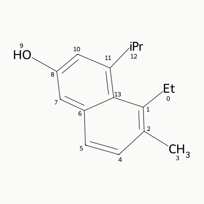 CCc1c(C)ccc2cc(O)cc(C(C)C)c12